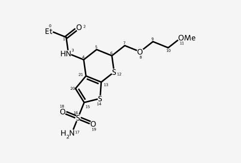 CCC(=O)NC1CC(COCCOC)Sc2sc(S(N)(=O)=O)cc21